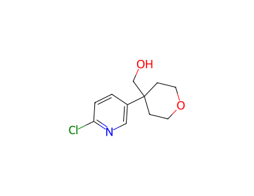 OCC1(c2ccc(Cl)nc2)CCOCC1